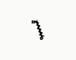 CC/C=C\CCCCCCCC[O]